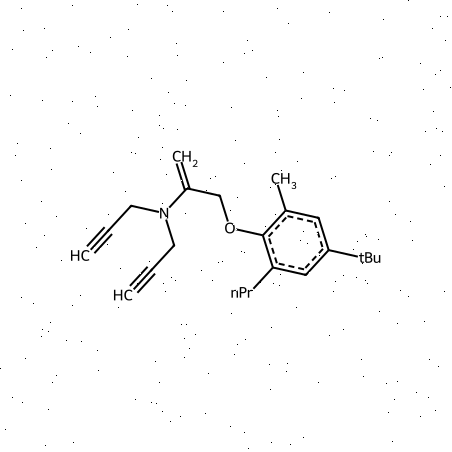 C#CCN(CC#C)C(=C)COc1c(C)cc(C(C)(C)C)cc1CCC